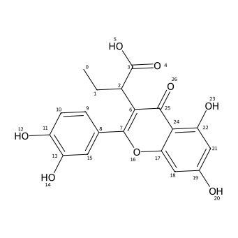 CCC(C(=O)O)c1c(-c2ccc(O)c(O)c2)oc2cc(O)cc(O)c2c1=O